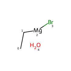 C[CH2][Mg][Br].O